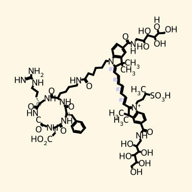 CC(CC[N+]1=C(/C=C/C=C/C=C/C=C2/N(CCCCCC(=O)NCCCCC3NC(=O)[C@@H](Cc4ccccc4)NC(=O)[C@H](CC(=O)O)NC(=O)CNC(=O)[C@H](CCCNC(=N)N)NC3=O)c3ccc(C(=O)NCC(O)C(O)C(O)C(O)CO)cc3C2(C)C)C(C)(C)c2cc(C(=O)NCC(O)C(O)C(O)C(O)CO)ccc21)S(=O)(=O)O